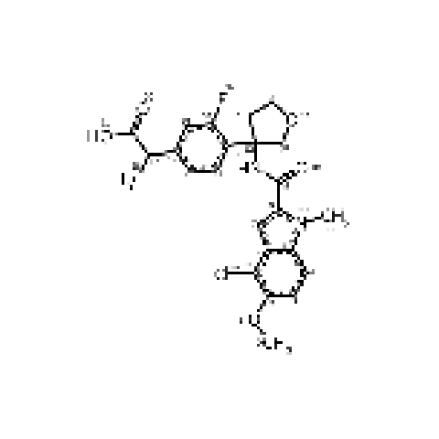 COc1ccc2c(cc(C(=O)NC3(c4ccc(C(C)C(=O)O)cc4F)CCOC3)n2C)c1Cl